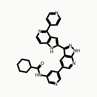 O=C(Nc1cncc(-c2cnc3[nH]nc(-c4cc5c(-c6ccncc6)nccc5[nH]4)c3c2)c1)C1CCCCC1